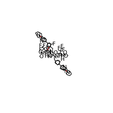 COC(=O)N[C@H](C(=O)N[C@@H](Cc1ccc(-c2ccc(N3CC4CCC(C3)N4C3COC3)nc2)cc1)[C@@H](O)CN(Cc1c(F)cc(-c2ccc(N3CC4CCC(C3)N4C3COC3)nc2)cc1F)NC(=O)[C@@H](NC(=O)OC)C(C)(C)C(F)(F)F)C(C)(C)C(F)(F)F